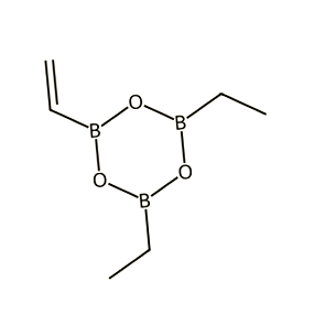 C=CB1OB(CC)OB(CC)O1